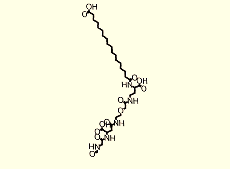 O=CNCC(=O)NC(CC(=O)NCCOCC(=O)NCCC(NC(=O)CCCCCCCCCCCCCCCCC(=O)O)C(=O)O)C(=O)O